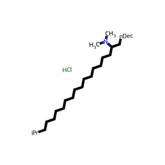 CCCCCCCCCCCC(CCCCCCCCCCCCCCCC(C)C)N(C)C.Cl